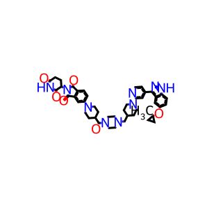 CC1(Oc2ccc3[nH]nc(-c4ccnc(N5CCC(CN6CCN(C(=O)C7CCN(c8ccc9c(c8)C(=O)N(C8CCC(=O)NC8=O)C9=O)CC7)CC6)CC5)c4)c3c2)CC1